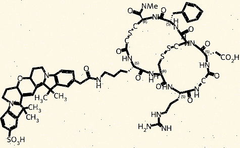 CNC(=O)[C@@H]1CSCC(=O)N[C@@H](CCCCNC(=O)Cc2ccc3c(c2)C(C)(C)C2=C4C=C5C6=[N+](CCC5OC4CCN23)c2ccc(S(=O)(=O)O)cc2C6(C)C)C(=O)N[C@H]2CSSC[C@H](NC(=O)[C@H](CC(=O)O)NC(=O)CNC(=O)[C@H](CCCNC(=N)N)NC2=O)C(=O)N[C@@H](Cc2ccccc2)C(=O)N1